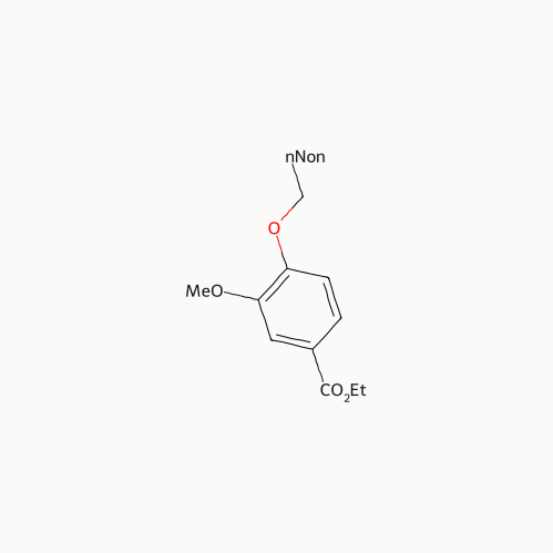 CCCCCCCCCCOc1ccc(C(=O)OCC)cc1OC